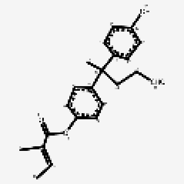 CC=C(C)C(=O)Oc1ccc(C(C)(CCC=O)c2ccc(O)cc2)cc1